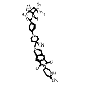 C=C1CCC(N2C(=O)c3cc4c(cc3C2=O)CN(CC2(C#N)CCN(c3ccc(C(=O)N(I)C5C(C)(C)CC5(C)C)cc3)CC2)C4)CN1